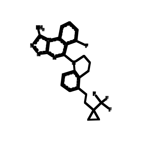 Nc1nnc2nc(N3CCCc4c(CCC5(C(F)(F)F)CC5)cccc43)c3c(F)cccc3n12